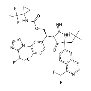 CC(C)(C)C[C@]1(c2ccc3c(C(F)F)nccc3c2)NC(=N)N([C@H](COC(=O)NC2(C(F)(F)F)CC2)c2ccc(Cl)c(-n3ncnc3C(F)F)c2)C1=O